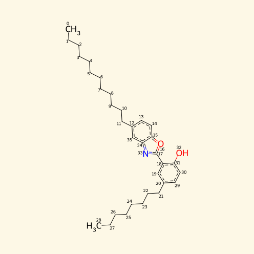 CCCCCCCCCCCCc1ccc2oc(-c3cc(CCCCCCCC)ccc3O)nc2c1